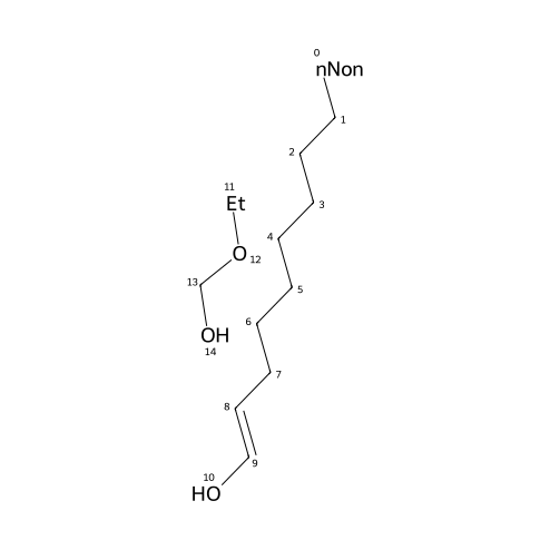 CCCCCCCCCCCCCCCCC=CO.CCOCO